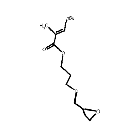 CCCCC=C(C)C(=O)OCCCOCC1CO1